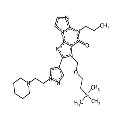 CCCn1c(=O)c2c(nc(-c3cnn(CCN4CCCCC4)c3)n2COCC[Si](C)(C)C)n2ccnc12